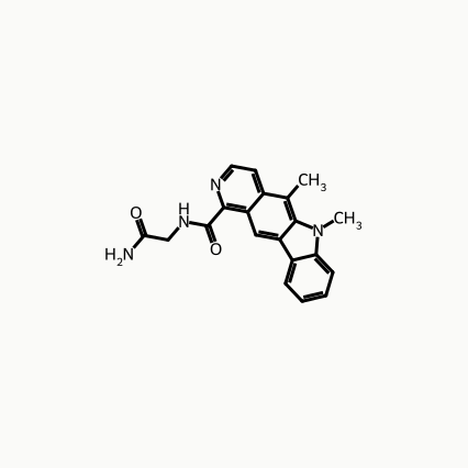 Cc1c2ccnc(C(=O)NCC(N)=O)c2cc2c3ccccc3n(C)c12